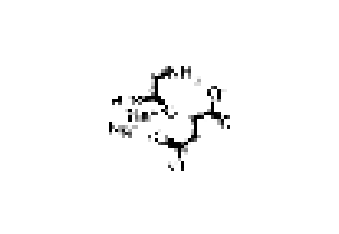 NCC(N)=O.O=C([O-])CCC(=O)[O-].[Na+].[Na+]